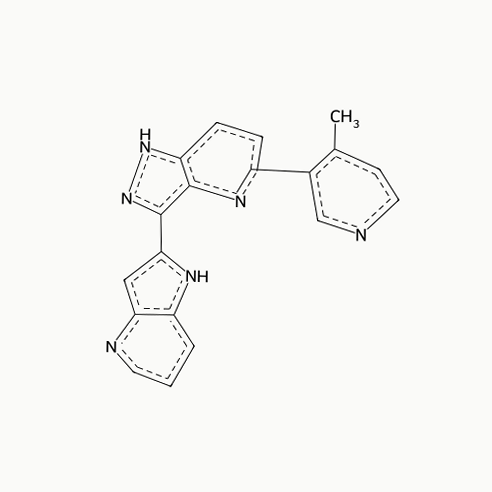 Cc1ccncc1-c1ccc2[nH]nc(-c3cc4ncccc4[nH]3)c2n1